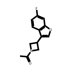 CC(=O)N1CC(c2coc3cc(F)ccc23)C1